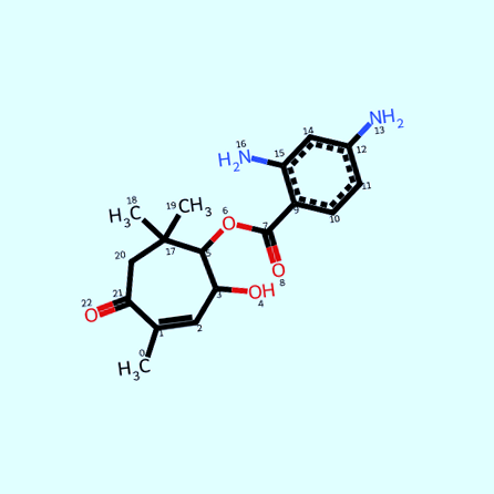 CC1=CC(O)C(OC(=O)c2ccc(N)cc2N)C(C)(C)CC1=O